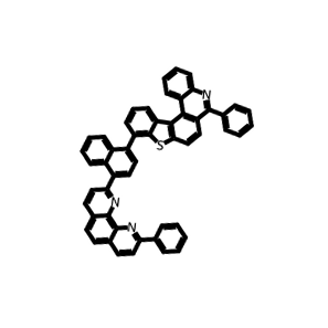 c1ccc(-c2ccc3ccc4ccc(-c5ccc(-c6cccc7c6sc6ccc8c(-c9ccccc9)nc9ccccc9c8c67)c6ccccc56)nc4c3n2)cc1